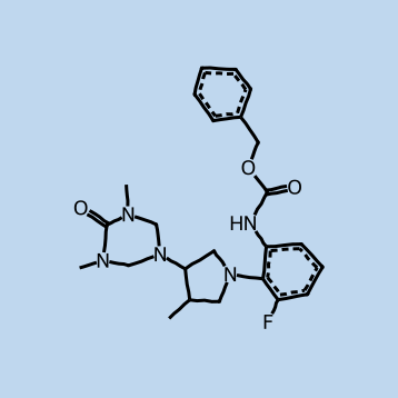 CC1CN(c2c(F)cccc2NC(=O)OCc2ccccc2)CC1N1CN(C)C(=O)N(C)C1